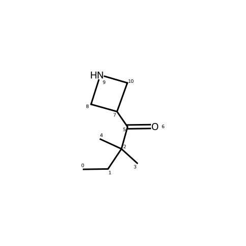 CCC(C)(C)C(=O)C1CNC1